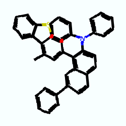 Cc1cc(-c2c(N(c3ccccc3)c3ccccc3)ccc3ccc(-c4ccccc4)cc23)cc2sc3ccccc3c12